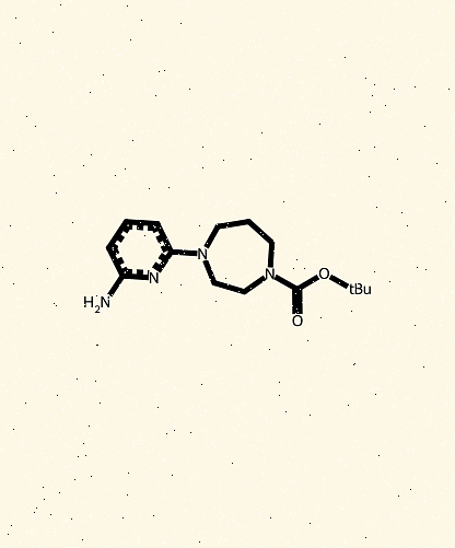 CC(C)(C)OC(=O)N1CCCN(c2cccc(N)n2)CC1